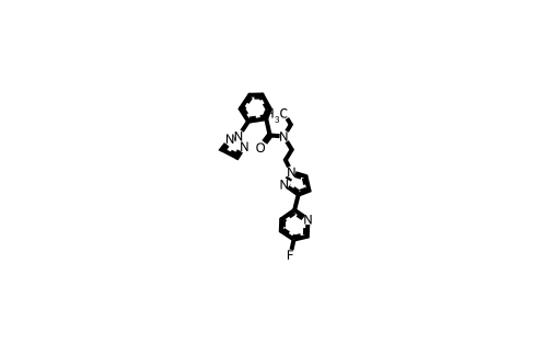 CCN(CCn1ccc(-c2ccc(F)cn2)n1)C(=O)c1ccccc1-n1nccn1